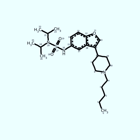 CCCCCN1CCC(c2coc3ccc(NS(=O)(=O)N(C(C)C)C(C)C)cc23)CC1